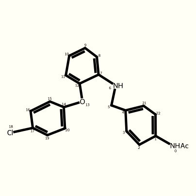 CC(=O)Nc1ccc(CNc2ccccc2Oc2ccc(Cl)cc2)cc1